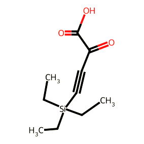 CC[Si](C#CC(=O)C(=O)O)(CC)CC